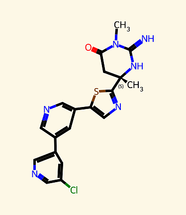 CN1C(=N)N[C@](C)(c2ncc(-c3cncc(-c4cncc(Cl)c4)c3)s2)CC1=O